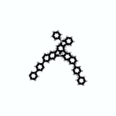 c1ccc(-c2ccc(-c3ccc4cc5c6cc7c(c8ccccc8n7-c7ccccc7)c7c8cc9ccc(-c%10ccc(-c%11ccccc%11)cc%10)cc9cc8n(c5cc4c3)c67)cc2)cc1